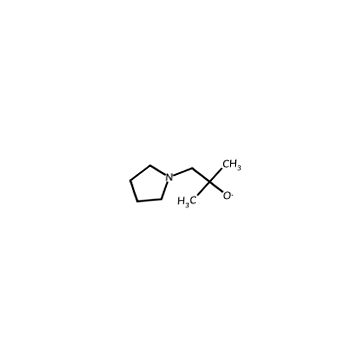 CC(C)([O])CN1CCCC1